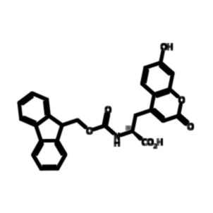 O=C(N[C@@H](Cc1cc(=O)oc2cc(O)ccc12)C(=O)O)OCC1c2ccccc2-c2ccccc21